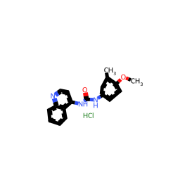 COc1ccc(NC(=O)Nc2ccnc3ccccc23)cc1C.Cl